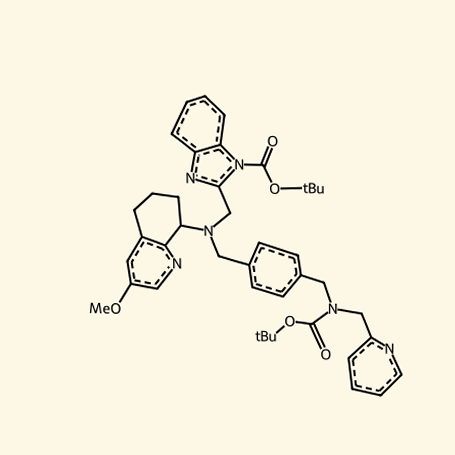 COc1cnc2c(c1)CCCC2N(Cc1ccc(CN(Cc2ccccn2)C(=O)OC(C)(C)C)cc1)Cc1nc2ccccc2n1C(=O)OC(C)(C)C